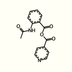 CC(=O)Nc1ccccc1C(=O)OC(=O)c1ccncc1